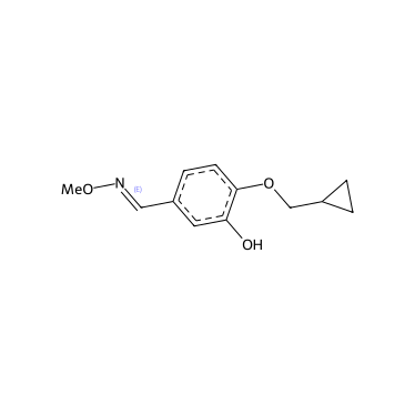 CO/N=C/c1ccc(OCC2CC2)c(O)c1